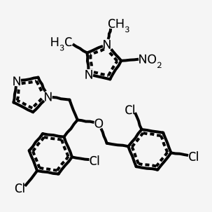 Cc1ncc([N+](=O)[O-])n1C.Clc1ccc(COC(Cn2ccnc2)c2ccc(Cl)cc2Cl)c(Cl)c1